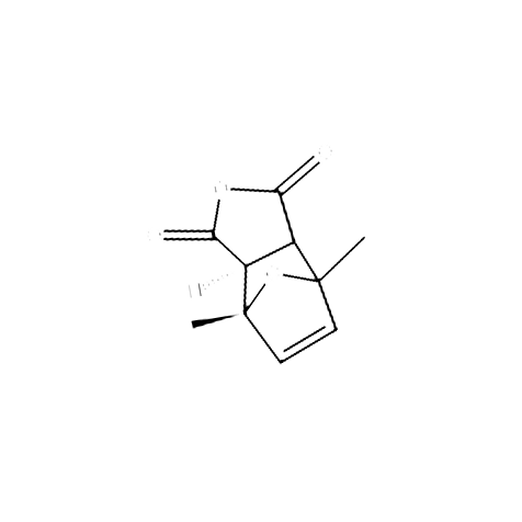 CC12C=C[C@@](C)(O1)[C@H]1C(=O)OC(=O)C12